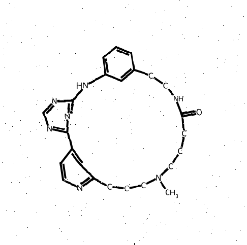 CN1CCCC(=O)NCCc2cccc(c2)Nc2ncnc(n2)-c2ccnc(c2)CCC1